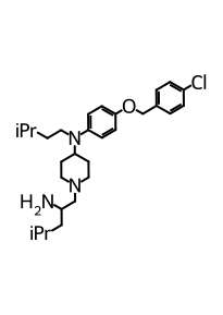 CC(C)CCN(c1ccc(OCc2ccc(Cl)cc2)cc1)C1CCN(CC(N)CC(C)C)CC1